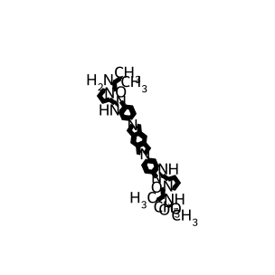 COC(=O)NC(C(=O)N1CCCC1c1nc2ccc(N3Cc4cc5c(cc4C3)CN(c3ccc4nc(C6CCCN6C(=O)C(N)C(C)C)[nH]c4c3)C5)cc2[nH]1)C(C)C